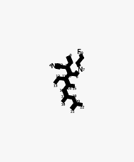 C=C/C(C#N)=C(\C=N/CCF)C(/CC)=C(C)/C=C(/C)CC(=C)C